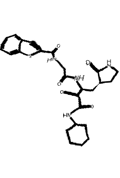 O=C(CNC(=O)c1cc2ccccc2s1)NC(C[C@@H]1CCNC1=O)C(=O)C(=O)NC1CCCCC1